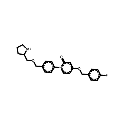 O=c1cc(OCc2ccc(F)cc2)ccn1-c1ccc(COCC2CCCN2)cc1